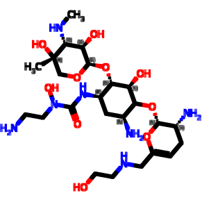 CN[C@@H]1[C@@H](O)[C@@H](O[C@H]2[C@H](NC(=O)N(O)CCN)C[C@H](N)C(O[C@H]3OC(CNCCO)=CC[C@H]3N)[C@@H]2O)OC[C@]1(C)O